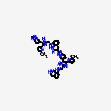 Cc1cccc(-c2nc(CNc3cccc4c3CNCC4)[nH]c2-c2ccc3nc(C4CNc5c(cccc5NCc5nc(-c6cccc(C)n6)c(-c6ccc7ncnn7c6)[nH]5)C4)nn3c2)n1